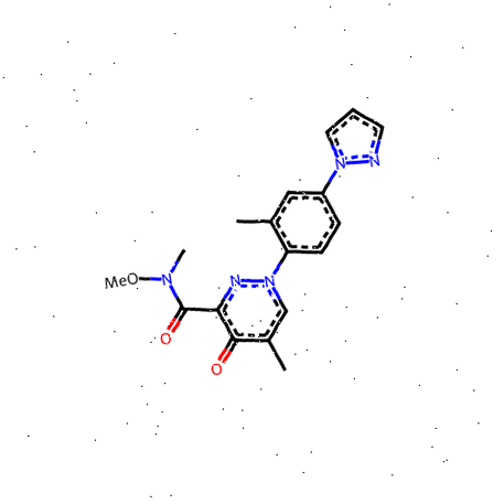 CON(C)C(=O)c1nn(-c2ccc(-n3cccn3)cc2C)cc(C)c1=O